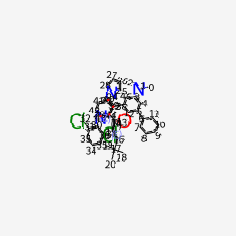 CN(C)c1cc(-c2ccccc2)c(O[C@H](/C=C/C(C)(C)C)/C(CCn2cccc2)=N\c2c(Cl)cccc2Cl)c(-c2ccccc2)c1